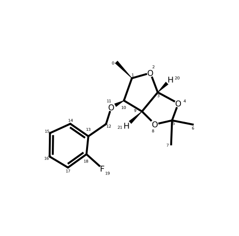 C[C@H]1O[C@@H]2OC(C)(C)O[C@@H]2[C@H]1OCc1ccccc1F